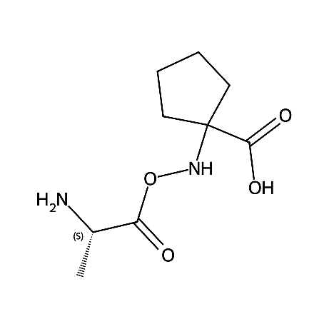 C[C@H](N)C(=O)ONC1(C(=O)O)CCCC1